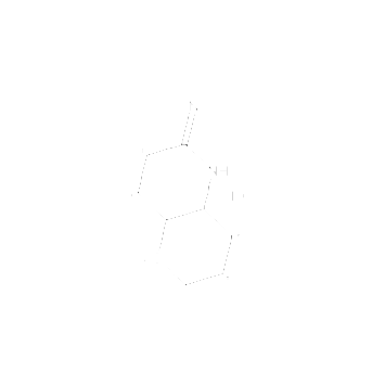 Cl.N=C1CCC2OCCCC2N1